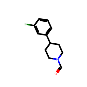 O=CN1CCC(c2cccc(F)c2)CC1